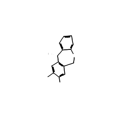 CC(C)[C@H]1c2cc(F)c(F)cc2CSc2ccccc21